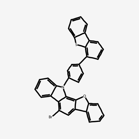 Brc1cc2c3ccccc3oc2c2c1c1ccccc1n2-c1ccc(-c2cccc3c2sc2ccccc23)cc1